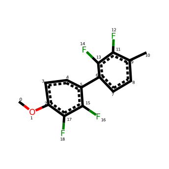 COc1ccc(-c2ccc(C)c(F)c2F)c(F)c1F